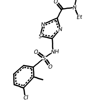 CCN(CC)C(=O)c1nsc(NS(=O)(=O)c2cccc(Cl)c2C)n1